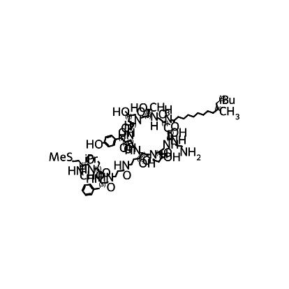 CC[C@H](C)C[C@H](C)CCCCCCCCC(=O)N[C@H]1C[C@@H](O)[C@@H](NCCN)NC(=O)[C@@H]2[C@@H](O)CCN2C(=O)[C@H]([C@H](O)CCNC(=O)CCNC(=O)[C@H](Cc2ccccc2)NC(=O)[C@H](CC(C)C)NC(=O)[C@H](CCSC)NC=O)NC(=O)[C@H]([C@H](O)[C@@H](O)c2ccc(O)cc2)NC(=O)[C@@H]2C[C@@H](O)CN2C(=O)[C@H]([C@@H](C)O)NC1=O